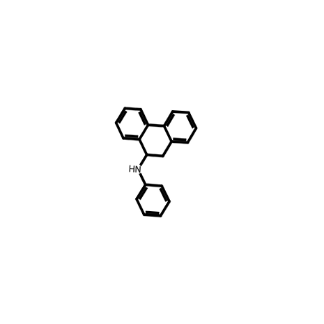 c1ccc(NC2Cc3ccccc3-c3ccccc32)cc1